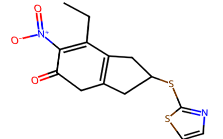 CCC1=C([N+](=O)[O-])C(=O)CC2=C1CC(Sc1nccs1)C2